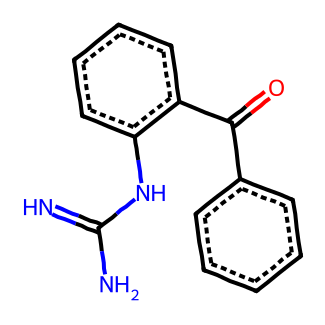 N=C(N)Nc1ccccc1C(=O)c1ccccc1